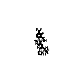 Cc1nc(N[C@H](C)c2cccc(C(F)F)c2F)c2cc(-c3nnc(C)[nH]3)c(N3CCCC3)nc2n1